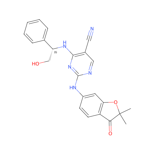 CC1(C)Oc2cc(Nc3ncc(C#N)c(N[C@H](CO)c4ccccc4)n3)ccc2C1=O